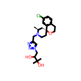 C[C@H]1C[C@@]2(CCN1Cc1cn(CC(O)C(C)(C)O)nn1)OCCc1ccc(Cl)cc12